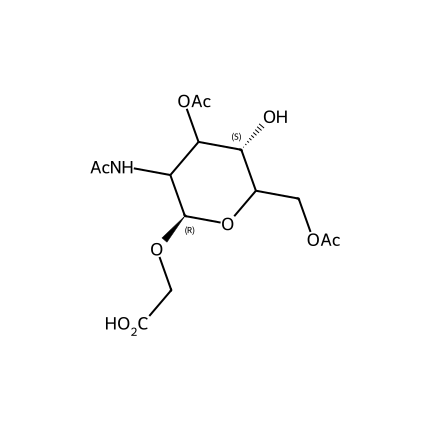 CC(=O)NC1C(OC(C)=O)[C@H](O)C(COC(C)=O)O[C@H]1OCC(=O)O